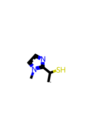 [CH2]C(S)c1nccn1C